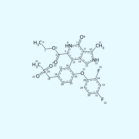 CCOC(=O)c1[nH]c(=O)c2c(C)[nH]cc2c1-c1cc(CS(C)(=O)=O)ccc1Oc1ccc(F)cc1F